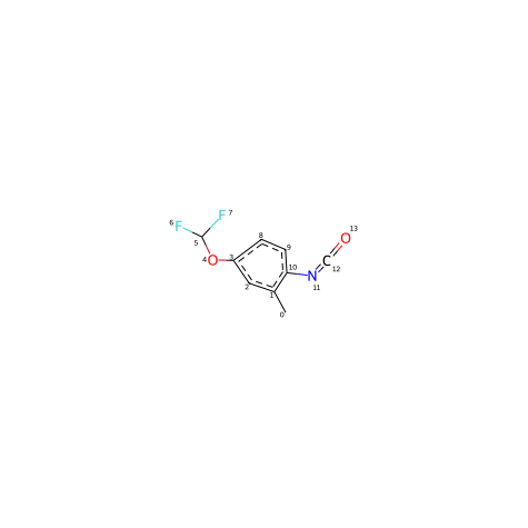 Cc1cc(OC(F)F)ccc1N=C=O